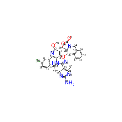 COc1cccc(-c2cc(F)ccc2[C@H]2Cc3nc(N)nc(C)c3/C(=N/OC[C@@H]3COC(=O)N3Cc3ccccc3)N2)n1